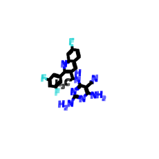 C[C@H](Nc1nc(N)nc(N)c1C#N)c1cc2ccc(F)cc2nc1-c1cc(F)cc(F)c1